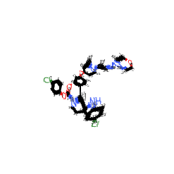 O=C(Oc1ccc(Cl)cc1)N1CCc2c([nH]c3c2=CC(Cl)CC=3)[C@@H]1c1ccc(OC2CCN(CCN3CCOCC3)CC2)cc1